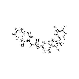 Cc1ccc(S(=O)(=O)N(C)c2ccc(OC(=O)Cn3cnc4ccccc4c3=O)cc2)cc1C